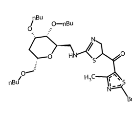 CCCCOC[C@@H]1C[C@H](OCCCC)[C@H](OCCCC)[C@@H](CNC2=NCC(C(=O)c3sc(Br)nc3C)S2)O1